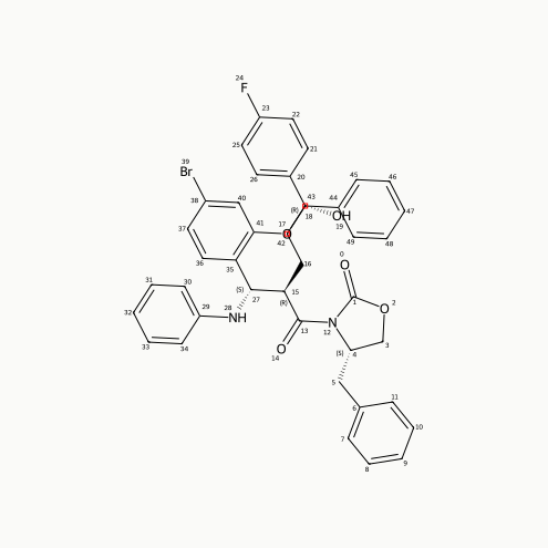 O=C1OC[C@H](Cc2ccccc2)N1C(=O)[C@H](CC[C@@H](O)c1ccc(F)cc1)[C@H](Nc1ccccc1)c1ccc(Br)cc1OCc1ccccc1